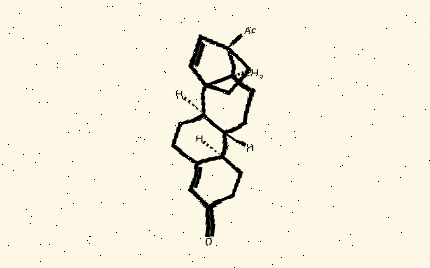 CC(=O)[C@@]12C=CC3(CC1)[C@@H]1CCC4=CC(=O)CC[C@@H]4[C@H]1CC[C@@]32C